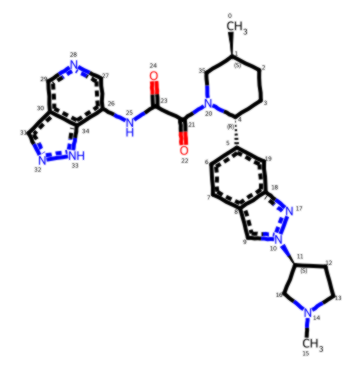 C[C@H]1CC[C@H](c2ccc3cn([C@H]4CCN(C)C4)nc3c2)N(C(=O)C(=O)Nc2cncc3cn[nH]c23)C1